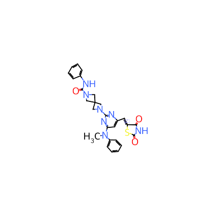 CN(c1ccccc1)c1cc(/C=C2\SC(=O)NC2=O)nc(N2CC3(CN(C(=O)Nc4ccccc4)C3)C2)n1